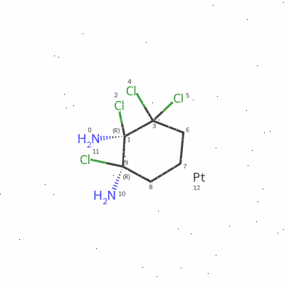 N[C@]1(Cl)C(Cl)(Cl)CCC[C@@]1(N)Cl.[Pt]